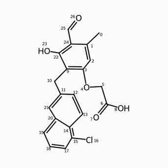 Cc1cc(OCC(=O)O)c(Cc2ccc3c(Cl)cccc3c2)c(O)c1C=O